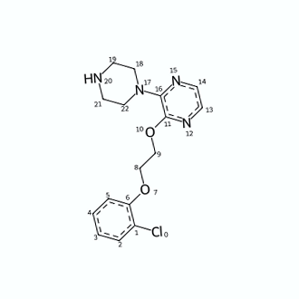 Clc1ccccc1OCCOc1nccnc1N1CCNCC1